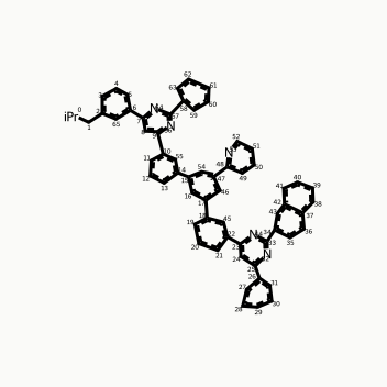 CC(C)Cc1cccc(-c2cc(-c3cccc(-c4cc(-c5cccc(-c6cc(-c7ccccc7)nc(-c7ccc8ccccc8c7)n6)c5)cc(-c5ccccn5)c4)c3)nc(-c3ccccc3)n2)c1